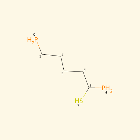 PCCCCC(P)S